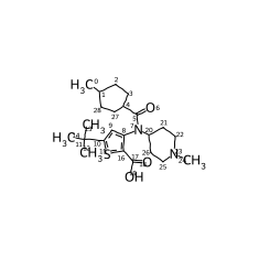 CC1CCC(C(=O)N(c2cc(C(C)(C)C)sc2C(=O)O)C2CCN(C)CC2)CC1